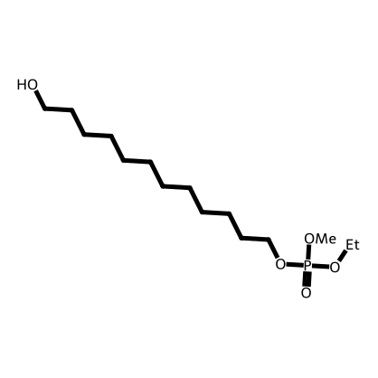 CCOP(=O)(OC)OCCCCCCCCCCCCO